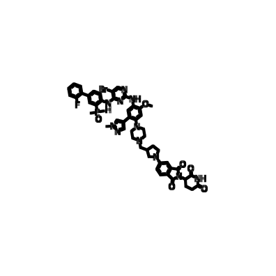 COc1cc(N2CCN(CC3CCN(c4ccc5c(c4)C(=O)N(C4CCC(=O)NC4=O)C5=O)C3)CC2)c(-c2cnn(C)c2)cc1Nc1ncc(Br)c(Nc2ccc(-c3ccccc3F)cc2P(C)(C)=O)n1